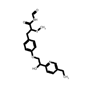 CCc1ccc(C(O)COc2ccc(CC(SC)C(=O)NC=O)cc2)nc1